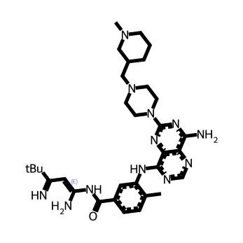 Cc1ccc(C(=O)N/C(N)=C/C(=N)C(C)(C)C)cc1Nc1ncnc2c(N)nc(N3CCN(CC4CCCN(C)C4)CC3)nc12